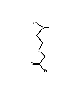 CC(C)C(=O)COCCN(C)C(C)C